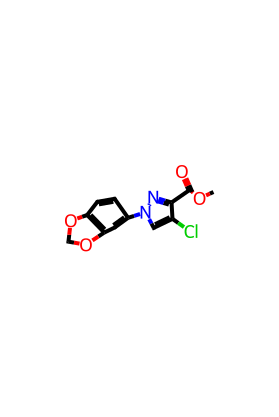 COC(=O)c1nn(-c2ccc3c(c2)OCO3)cc1Cl